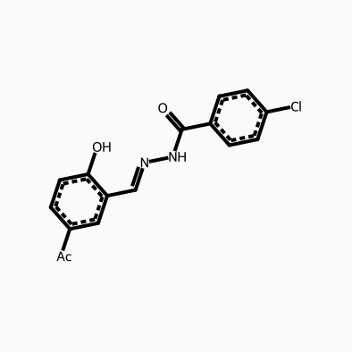 CC(=O)c1ccc(O)c(/C=N/NC(=O)c2ccc(Cl)cc2)c1